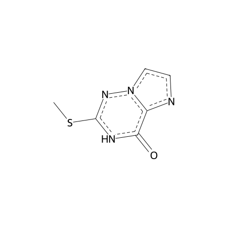 CSc1nn2ccnc2c(=O)[nH]1